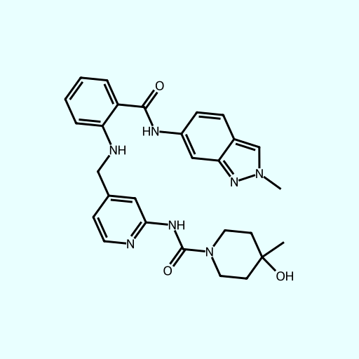 Cn1cc2ccc(NC(=O)c3ccccc3NCc3ccnc(NC(=O)N4CCC(C)(O)CC4)c3)cc2n1